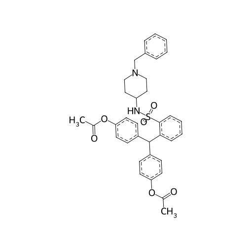 CC(=O)Oc1ccc(C(c2ccc(OC(C)=O)cc2)c2ccccc2S(=O)(=O)NC2CCN(Cc3ccccc3)CC2)cc1